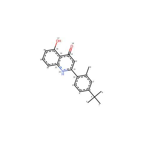 Cc1cc(C(C)(C)C)ccc1-c1cc(=O)c2c(O)cccc2[nH]1